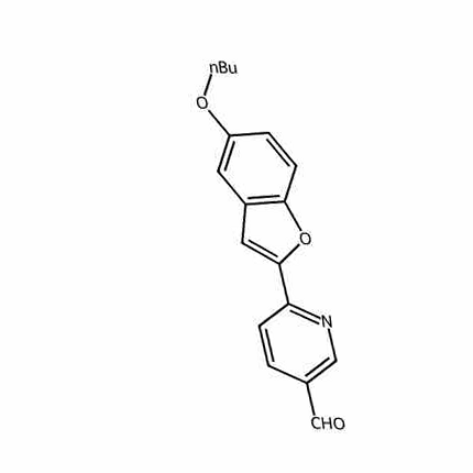 CCCCOc1ccc2oc(-c3ccc(C=O)cn3)cc2c1